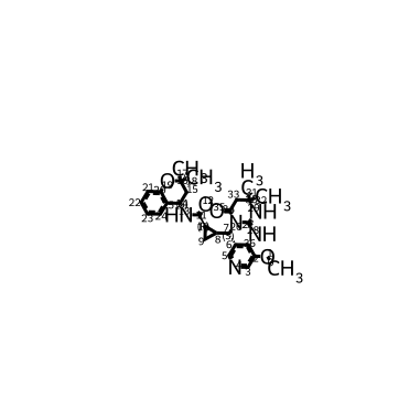 COc1cncc([C@H](C2C[C@H]2C(=O)N[C@H]2CC(C)(C)Oc3ccccc32)N2C(=N)NC(C)(C)CC2=O)c1